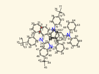 Cc1cc2c3c(c1)N(c1ccc(C(C)(C)C)cc1-c1ccccc1)c1c(n(-c4ccccc4-c4ccccc4)c4cc(C(C)(C)C)ccc14)B3c1ccc(N(c3ccccc3)c3ccccc3)cc1N2c1ccc(C(C)(C)C)cc1